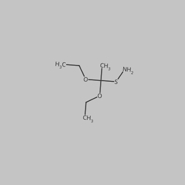 CCOC(C)(OCC)SN